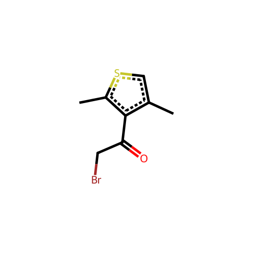 Cc1csc(C)c1C(=O)CBr